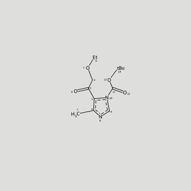 CCOCC(=O)c1c(C)n[c]n1C(=O)OC(C)(C)C